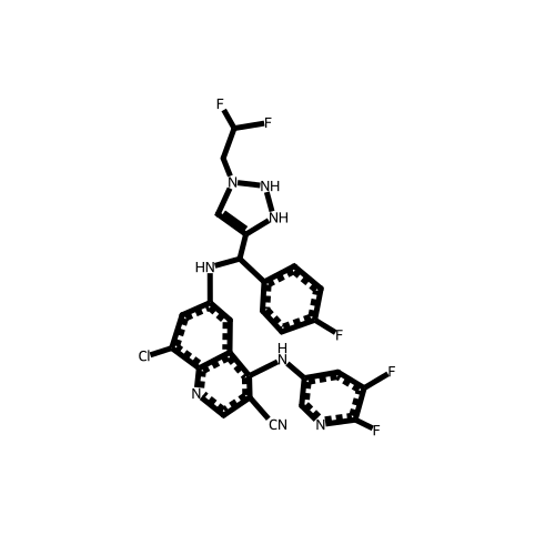 N#Cc1cnc2c(Cl)cc(NC(C3=CN(CC(F)F)NN3)c3ccc(F)cc3)cc2c1Nc1cnc(F)c(F)c1